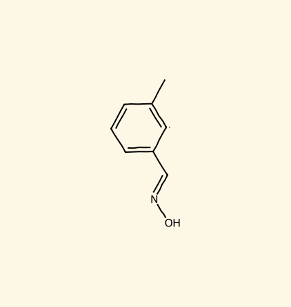 Cc1[c]c(C=NO)ccc1